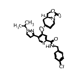 CC(C)n1ccc(-c2cnc(C(=O)NCc3ccc(Cl)cc3)cc2O[C@H]2CCN3C(=O)OC[C@@H]3C2)n1